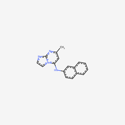 Cc1cc(Nc2ccc3ccccc3c2)n2ccnc2n1